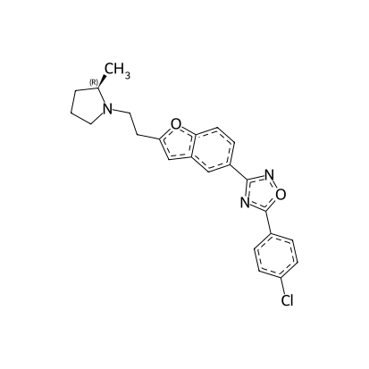 C[C@@H]1CCCN1CCc1cc2cc(-c3noc(-c4ccc(Cl)cc4)n3)ccc2o1